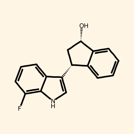 O[C@H]1C[C@@H](c2c[nH]c3c(F)cccc23)c2ccccc21